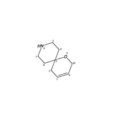 C1=CCC2(CCNCC2)OC1